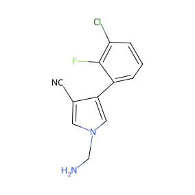 N#Cc1cn(CN)cc1-c1cccc(Cl)c1F